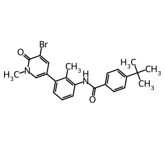 Cc1c(NC(=O)c2ccc(C(C)(C)C)cc2)cccc1-c1cc(Br)c(=O)n(C)c1